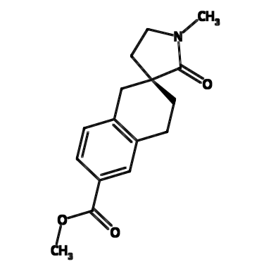 COC(=O)c1ccc2c(c1)CC[C@]1(CCN(C)C1=O)C2